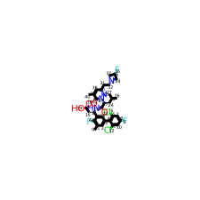 Cc1cc(-c2c(Cl)cc(F)cc2Cl)cc([C@H](CC(=O)O)NC(=O)[C@H](CC(C)C)n2nc(CCN3CC(F)C3)cc(C)c2=O)c1F